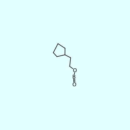 O=BOCCC1CCCC1